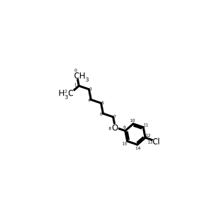 CC(C)CCCCCOc1ccc(Cl)cc1